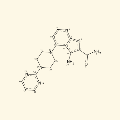 NC(=O)c1sc2nccc(N3CCN(c4ncccn4)CC3)c2c1N